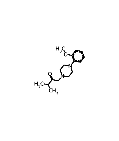 COc1ccccc1N1CCN(CC(=O)C(C)C)CC1